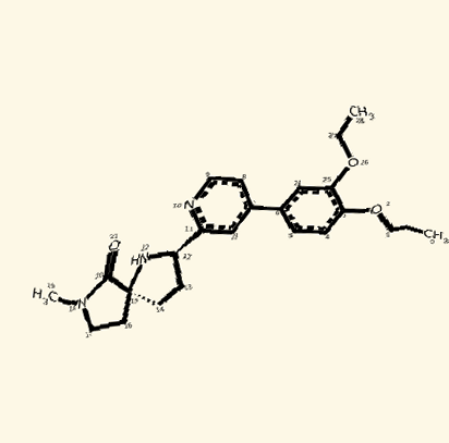 CCOc1ccc(-c2ccnc([C@H]3CC[C@@]4(CCN(C)C4=O)N3)c2)cc1OCC